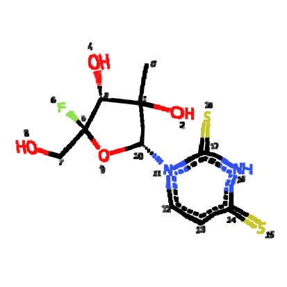 CC1(O)[C@@H](O)[C@@](F)(CO)O[C@H]1n1ccc(=S)[nH]c1=S